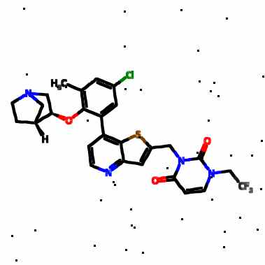 Cc1cc(Cl)cc(-c2ccnc3cc(Cn4c(=O)ccn(CC(F)(F)F)c4=O)sc23)c1O[C@@H]1CN2CC[C@@H]1C2